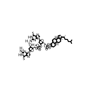 COP(=O)(OC[C@H]1O[C@@H](n2cnc3c(=S)[nH]c(N)nc32)CC1O)OC1C[C@H](n2cnc3c(=S)[nH]c(N)nc32)O[C@@H]1COP(=O)(O)O[C@H]1CC[C@@]2(C)C(=CC[C@H]3[C@@H]4CC[C@H]([C@H](C)CCCC(C)C)[C@@]4(C)CC[C@@H]32)C1